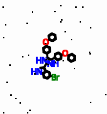 Brc1ccc2[nH]cc(C3NC(c4ccc(Oc5ccccc5)cc4)=C(c4ccc(Oc5ccccc5)cc4)N3)c2c1